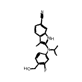 Cc1c(N(c2ccc(CO)c(F)c2)C(C)C)[nH]c2cc(C#N)ccc12